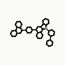 c1ccc(-c2cccc(-n3c4ccccc4c4cc(-c5ccc(-c6cc7ccccc7c7ccccc67)cc5)c5ccccc5c43)c2)cc1